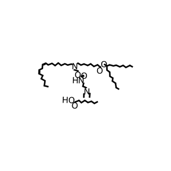 CCCCC/C=C\C/C=C\CCCCCCCCN(CCCCCCCC(=O)OC(CCCCCCCC)CCCCCCCC)CCOC(=O)NCCCN(CC)CC.CCCCCCCC(=O)O